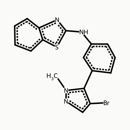 Cn1ncc(Br)c1-c1cccc(Nc2nc3ccccc3s2)c1